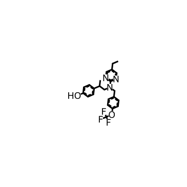 CCc1cnc(N(Cc2ccc(OC(F)(F)F)cc2)CC(C)c2ccc(O)cc2)nc1